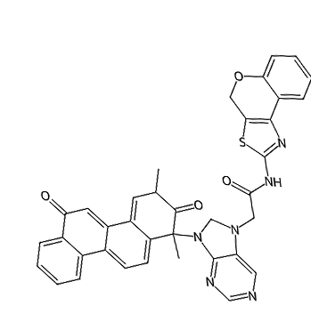 CC1C=c2c(ccc3c2=CC(=O)c2ccccc2-3)C(C)(N2CN(CC(=O)Nc3nc4c(s3)COc3ccccc3-4)c3cncnc32)C1=O